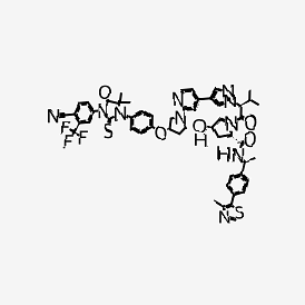 Cc1ncsc1-c1ccc([C@H](C)NC(=O)[C@@H]2C[C@@H](O)CN2C(=O)[C@H](C(C)C)n2cc(-c3ccnc(N4CC[C@H](Oc5ccc(N6C(=S)N(c7ccc(C#N)c(C(F)(F)F)c7)C(=O)C6(C)C)cc5)C4)c3)cn2)cc1